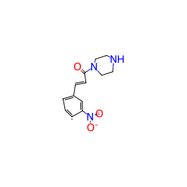 O=C(/C=C/c1cc[c]c([N+](=O)[O-])c1)N1CCNCC1